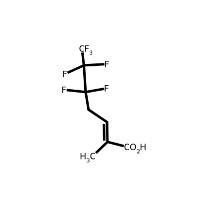 C/C(=C\CC(F)(F)C(F)(F)C(F)(F)F)C(=O)O